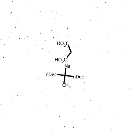 CCCCCCCCCC[C](C)([Na])CCCCCCCCCC.O=C(O)CC(=O)O